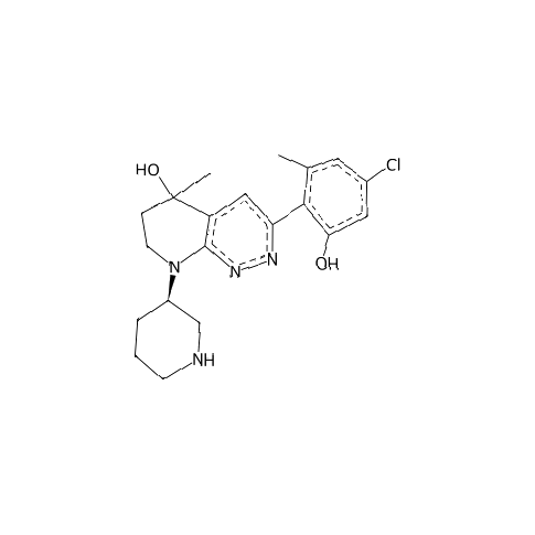 Cc1cc(Cl)cc(O)c1-c1cc2c(nn1)N([C@@H]1CCCNC1)CCC2(C)O